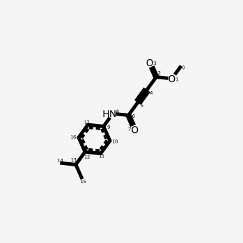 COC(=O)C#CC(=O)Nc1ccc(C(C)C)cc1